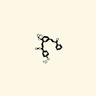 COc1ccc(C(=C=O)C=Cc2cc(C=CC(=O)c3ccccc3)ccc2OC)cc1